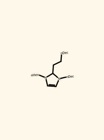 CCCCCCCCCCCCC1N(CCCCCC)C=CN1CCCCCCCCCC